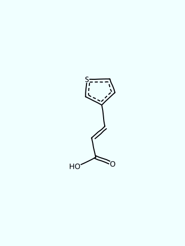 O=C(O)/C=C/c1ccsc1